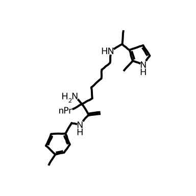 C=C(NCc1ccc(C)cc1)C(N)(CCC)CCCCCNC(C)c1cc[nH]c1C